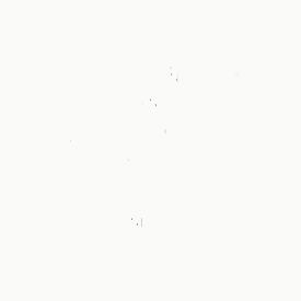 Nc1ccccc1Cc1nnc(S)s1